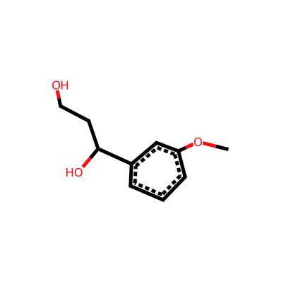 COc1cccc(C(O)CCO)c1